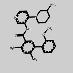 COc1ccccc1-c1nc(C(=O)Nc2cnccc2N2CCCC(N)C2)c(N)nc1N